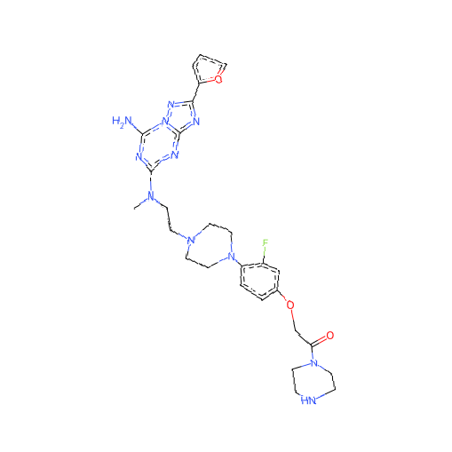 CN(CCN1CCN(c2ccc(OCC(=O)N3CCNCC3)cc2F)CC1)c1nc(N)n2nc(-c3ccco3)nc2n1